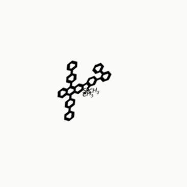 C[Si]1(C)C2=C(CCC(c3ccccc3-c3ccccc3)=C2)c2cc3c(-c4ccc(-c5ccccc5)cc4)c4ccccc4c(C4C=CC(c5ccccc5)=CC4)c3cc21